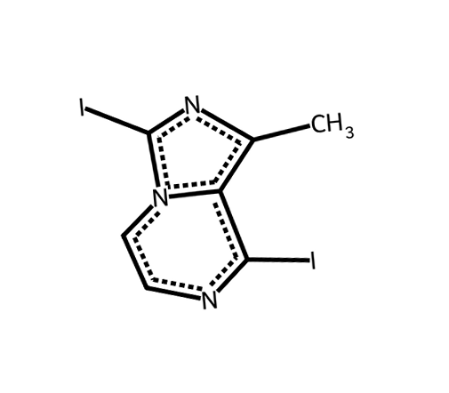 Cc1nc(I)n2ccnc(I)c12